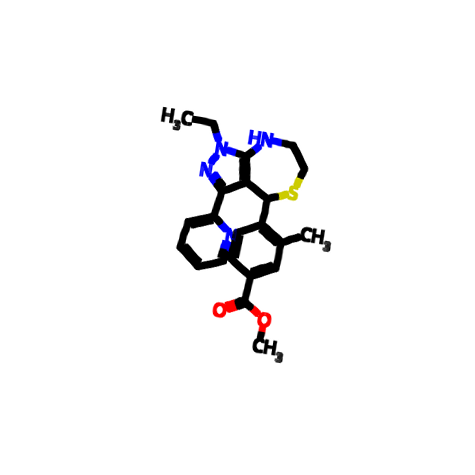 CCn1nc(-c2ccccn2)c2c1NCCSC2c1ccc(C(=O)OC)cc1C